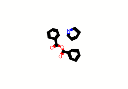 O=C(OC(=O)c1ccccc1)c1ccccc1.c1ccncc1